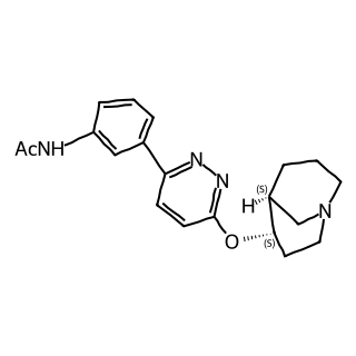 CC(=O)Nc1cccc(-c2ccc(O[C@H]3CCN4CCC[C@H]3C4)nn2)c1